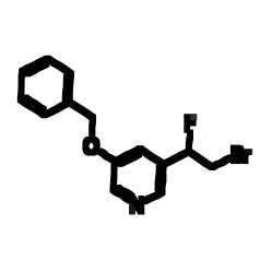 FC(CBr)c1cncc(OCc2ccccc2)c1